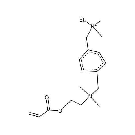 C=CC(=O)OCC[N+](C)(C)Cc1ccc(C[N+](C)(C)CC)cc1